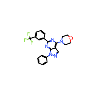 FC(F)(F)c1cccc(-c2nc(N3CCOCC3)c3cnn(-c4ccccc4)c3n2)c1